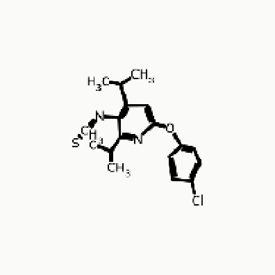 CC(C)c1cc(Oc2ccc(Cl)cc2)nc(C(C)C)c1N=C=S